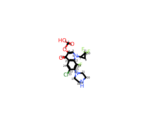 O=C(O)Oc1cn(C2CC2(F)F)c2c(F)c(N3CCNCC3)c(Cl)cc2c1=O